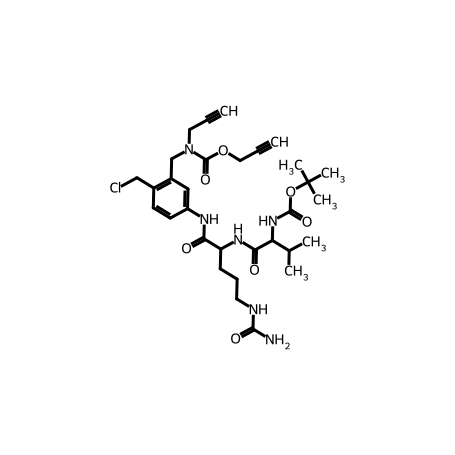 C#CCOC(=O)N(CC#C)Cc1cc(NC(=O)C(CCCNC(N)=O)NC(=O)C(NC(=O)OC(C)(C)C)C(C)C)ccc1CCl